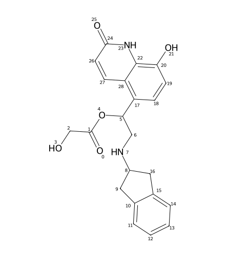 O=C(CO)OC(CNC1Cc2ccccc2C1)c1ccc(O)c2[nH]c(=O)ccc12